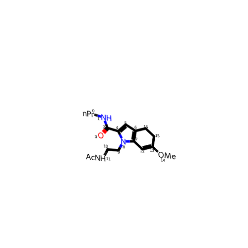 CCCNC(=O)c1cc2c(n1CCNC(C)=O)C=C(OC)CC2